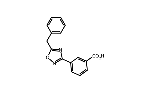 O=C(O)c1cccc(-c2noc(Cc3ccccc3)n2)c1